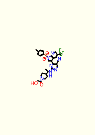 Cc1ccc(S(=O)(=O)n2cc(-c3nc(NC(C)C4CCN(C(=O)CO)CC4)ncc3C#N)c3cc(C(F)(F)F)cnc32)cc1